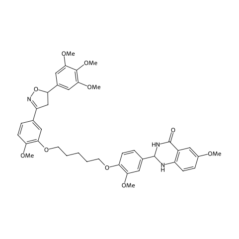 COc1ccc2c(c1)C(=O)NC(c1ccc(OCCCCCOc3cc(C4=NOC(c5cc(OC)c(OC)c(OC)c5)C4)ccc3OC)c(OC)c1)N2